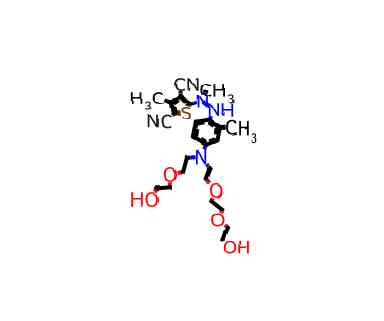 Cc1cc(N(CCOCCO)CCOCCOCCO)ccc1NN(C)c1sc(C#N)c(C)c1C#N